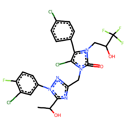 CC(O)c1nc(Cn2c(Cl)c(-c3ccc(Cl)cc3)n(CC(O)C(F)(F)F)c2=O)nn1-c1ccc(F)c(Cl)c1